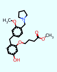 COC(=O)CCCOc1cc(O)c[c]c1Cc1ccc(CN2CCCC2)c(OC)c1